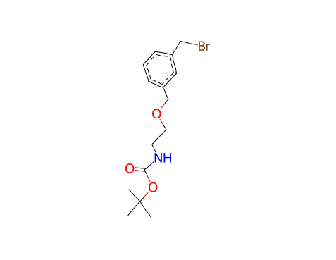 CC(C)(C)OC(=O)NCCOCc1cccc(CBr)c1